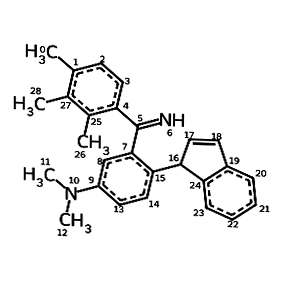 Cc1ccc(C(=N)c2cc(N(C)C)ccc2C2C=Cc3ccccc32)c(C)c1C